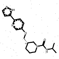 CC(C)NC(=O)N1CCC[C@H](COc2ccc(-c3ccn[nH]3)nc2)C1